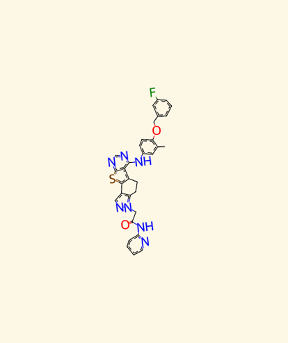 Cc1cc(Nc2ncnc3sc4c(c23)CCc2c-4cnn2CC(=O)Nc2ccccn2)ccc1OCc1cccc(F)c1